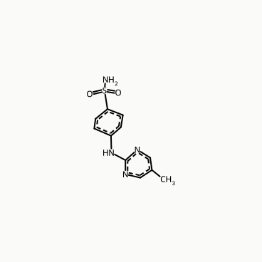 Cc1cnc(Nc2ccc(S(N)(=O)=O)cc2)nc1